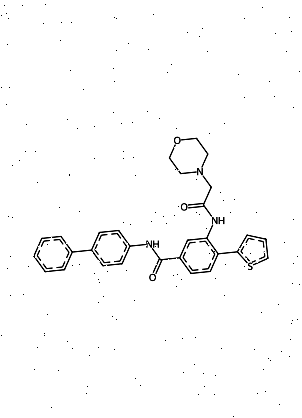 O=C(CN1CCOCC1)Nc1cc(C(=O)Nc2ccc(-c3ccccc3)cc2)ccc1-c1cccs1